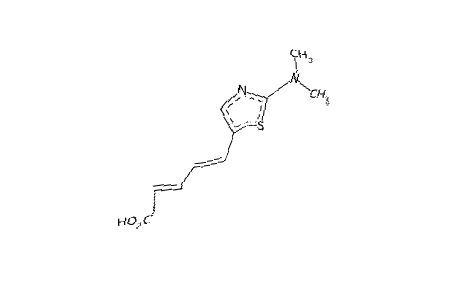 CN(C)c1ncc(C=C/C=C/C(=O)O)s1